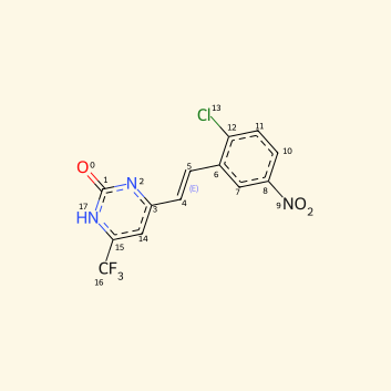 O=c1nc(/C=C/c2cc([N+](=O)[O-])ccc2Cl)cc(C(F)(F)F)[nH]1